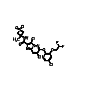 CC1(NC(=O)c2nc3cc(Cl)c(Oc4ncc(Cl)cc4OCC(F)F)nn3c2Cl)CS(=O)(=O)C1